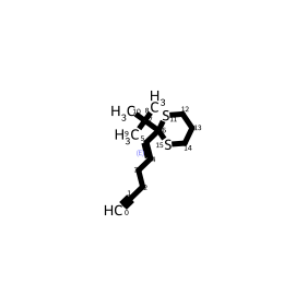 C#CCC/C=C/C1(C(C)(C)C)SCCCS1